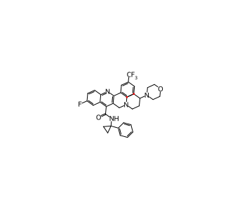 O=C(NC1(c2ccccc2)CC1)c1c(CN2CCC(N3CCOCC3)CC2)c(-c2cccc(C(F)(F)F)c2)nc2ccc(F)cc12